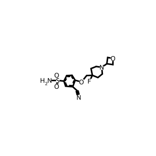 N#Cc1cc(S(N)(=O)=O)ccc1OCC1(F)CCN(C2COC2)CC1